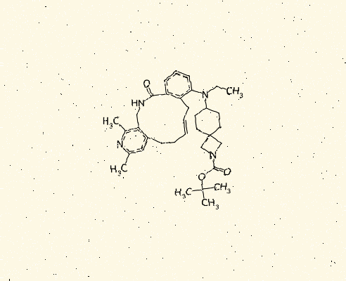 CCN(c1cccc2c1C/C=C/CCc1cc(C)nc(C)c1CNC2=O)C1CCC2(CC1)CN(C(=O)OC(C)(C)C)C2